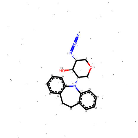 [N-]=[N+]=N[C@@H]1COC[C@H](N2c3ccccc3CCc3ccccc32)[C@H]1O